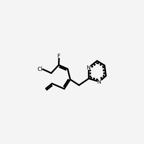 C=C/C=C(\C=C(\F)CCl)Cc1ncccn1